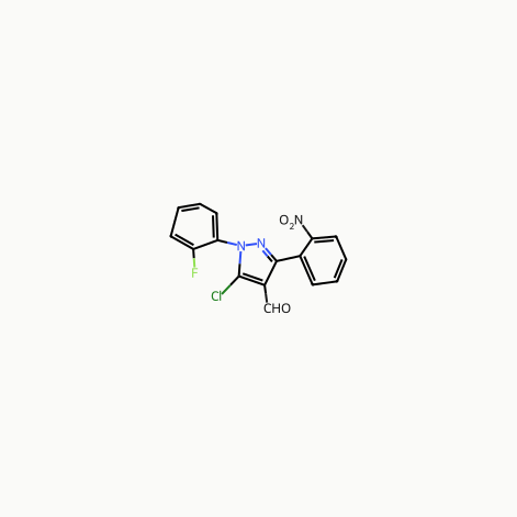 O=Cc1c(-c2ccccc2[N+](=O)[O-])nn(-c2ccccc2F)c1Cl